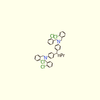 CCCC(c1ccc(N(Cc2ccccc2Cl)Cc2ccccc2Cl)cc1)c1ccc(N(Cc2ccccc2Cl)Cc2ccccc2Cl)cc1